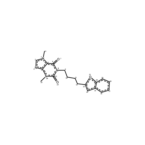 Cn1cnc2c1c(=O)n(CCCCc1cc3ccccc3o1)c(=O)n2C